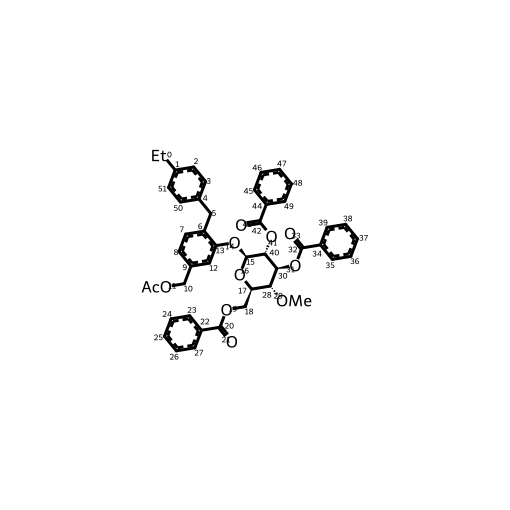 CCc1ccc(Cc2ccc(COC(C)=O)cc2O[C@@H]2O[C@H](COC(=O)c3ccccc3)[C@@H](OC)[C@H](OC(=O)c3ccccc3)[C@H]2OC(=O)c2ccccc2)cc1